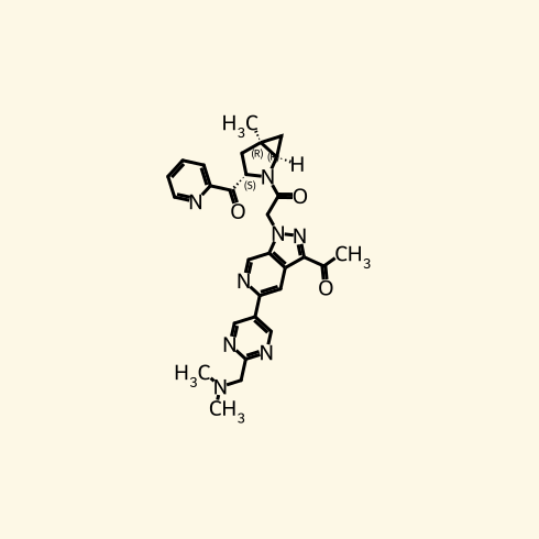 CC(=O)c1nn(CC(=O)N2[C@H](C(=O)c3ccccn3)C[C@@]3(C)C[C@@H]23)c2cnc(-c3cnc(CN(C)C)nc3)cc12